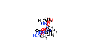 CCC(C)C(NC(=O)C(CC(C)C)NC(=O)C(Cc1ccccc1)NC(=O)C(C)N)C(=O)NCC(=O)NC(C(=O)O)C(C)C